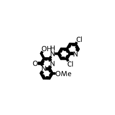 COc1cccn2c(=O)c(CO)c(Nc3cc(Cl)c4ncc(Cl)cc4c3)nc12